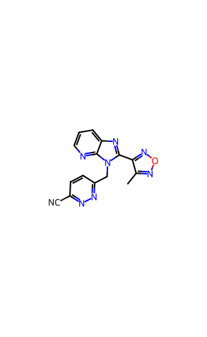 Cc1nonc1-c1nc2cccnc2n1Cc1ccc(C#N)nn1